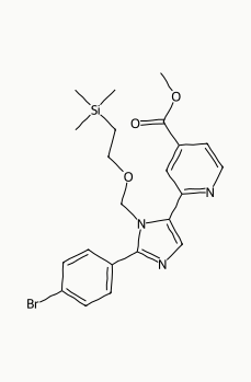 COC(=O)c1ccnc(-c2cnc(-c3ccc(Br)cc3)n2COCC[Si](C)(C)C)c1